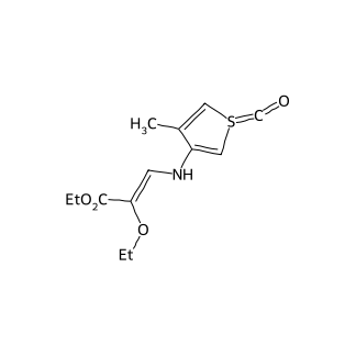 CCOC(=O)C(=CNC1=CS(=C=O)C=C1C)OCC